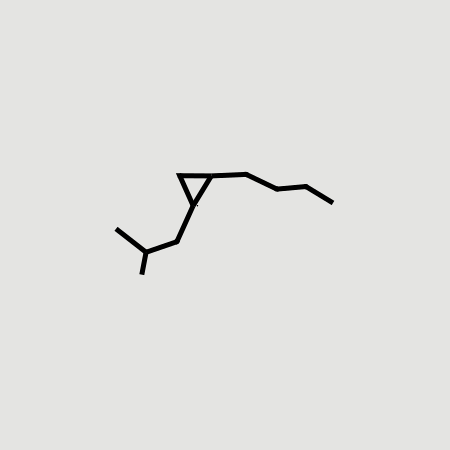 CCCCC1C[C]1CC(C)C